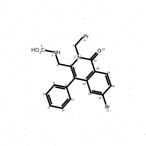 CC(C)Cn1c(CNC(=O)O)c(-c2ccccc2)c2cc(Br)ccc2c1=O